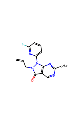 C=CCn1c(=O)c2cnc(SC)nc2n1-c1cccc(F)n1